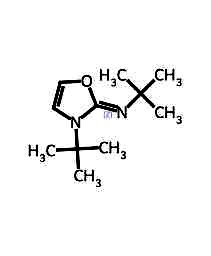 CC(C)(C)/N=c1\occn1C(C)(C)C